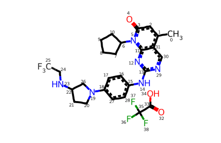 Cc1cc(=O)n(C2CCCC2)c2nc(Nc3ccc(N4CCC(NCC(F)(F)F)C4)cc3)ncc12.O=C(O)C(F)(F)F